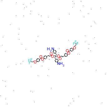 Nc1ccc(CC(COC(=O)/C=C/c2ccc(OC(=O)c3ccc(OCCC(F)(F)F)cc3)cc2)(COC(=O)/C=C/c2ccc(OC(=O)c3ccc(OCCC(F)(F)F)cc3)cc2)Cc2ccc(N)cc2)cc1